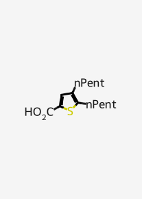 CCCCCc1cc(C(=O)O)sc1CCCCC